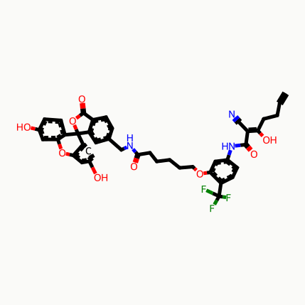 C#CCC/C(O)=C(\C#N)C(=O)Nc1ccc(C(F)(F)F)c(OCCCCCC(=O)NCc2ccc3c(c2)C2(OC3=O)c3ccc(O)cc3Oc3cc(O)ccc32)c1